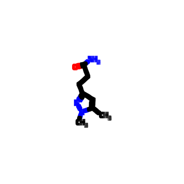 Cc1cc(CCC(N)=O)nn1C